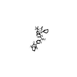 COC(C)(c1cc2cnc(Nc3ccc(N4C[C@@H]5CC[C@H](CC4=O)N5)cn3)nc2n1C1CCCC1)N(C)C